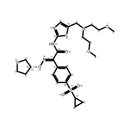 COCCN(CCOC)Cc1cnc(NC(=O)/C(=N/O[C@@H]2CCOC2)c2ccc(S(=O)(=O)C3CC3)cc2)s1